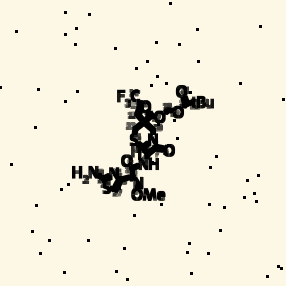 CON=C(C(=O)NC1C(=O)N2CC(C=CC(F)(F)F)(C(=O)OCOC(=O)C(C)(C)C)CS[C@H]12)c1csc(N)n1